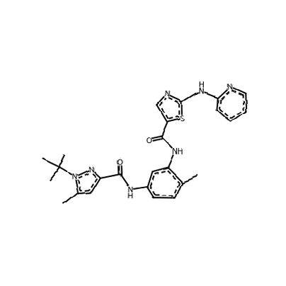 Cc1ccc(NC(=O)c2cc(C)n(C(C)(C)C)n2)cc1NC(=O)c1cnc(Nc2ccccn2)s1